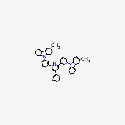 Cc1ccc2c(c1)c1ccccc1n2-c1cccc(-c2cc(-c3ccccc3)cc(-c3cccc(-n4c5ccccc5c5cc(C)ccc54)c3)n2)c1